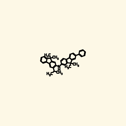 CC(C)c1cc2c(cc1Nc1ccc3c(c1)C(C)(C)c1cc(-c4ccccc4)ccc1-3)C(C)(C)c1ccccc1-2